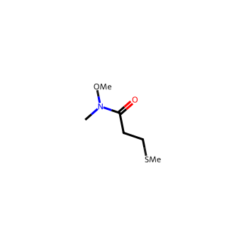 CON(C)C(=O)CCSC